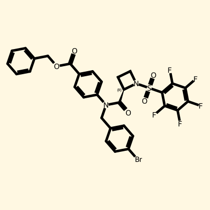 O=C(OCc1ccccc1)c1ccc(N(Cc2ccc(Br)cc2)C(=O)[C@H]2CCN2S(=O)(=O)c2c(F)c(F)c(F)c(F)c2F)cc1